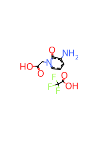 Nc1cccn(CC(=O)O)c1=O.O=C(O)C(F)(F)F